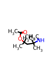 CNC(C)(C)CC(C)(C)OC(C)=O